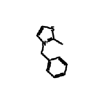 Cc1scc[n+]1Cc1ccccc1